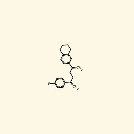 C=C(CCC(=C)c1ccc2c(c1)CCCC2)c1ccc(F)cc1